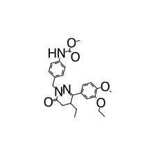 CCOc1cc(C2=NN(Cc3ccc(NC(=O)OC)cc3)C(=O)CC2CC)ccc1OC